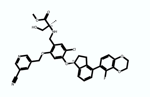 COC(=O)[C@](C)(CO)NCc1cc(Cl)c(O[C@H]2CCc3c(-c4ccc5c(c4F)OCCO5)cccc32)cc1OCc1cncc(C#N)c1